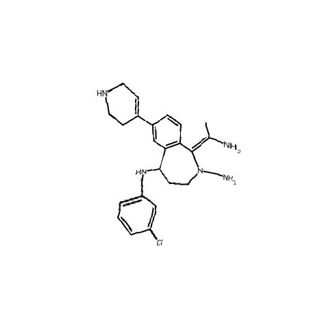 C/C(N)=C1\c2ccc(C3=CCNCC3)cc2C(Nc2cccc(Cl)c2)CCN1N